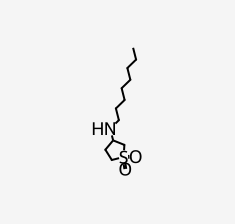 CCCCCCCCNC1CCS(=O)(=O)C1